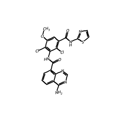 COc1cc(C(=O)Nc2nccs2)c(Cl)c(NC(=O)c2cccc3c(N)ncnc23)c1Cl